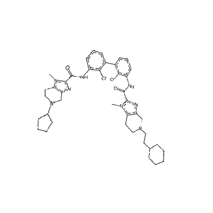 Cn1c(C(=O)Nc2cccc(-c3cccc(NC(=O)c4nc5c(n4C)CCN(C4CCCC4)C5)c3Cl)c2Cl)nc2c1CCN(CCC1CCCCC1)C2